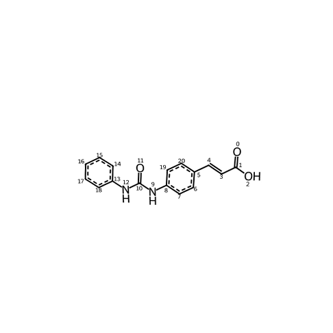 O=C(O)C=Cc1ccc(NC(=O)Nc2ccccc2)cc1